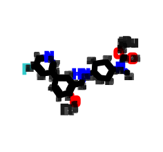 CCOc1ccc(-c2cncc(F)c2)cc1CNC1CCC(N(C)C(=O)OC(C)(C)C)CC1